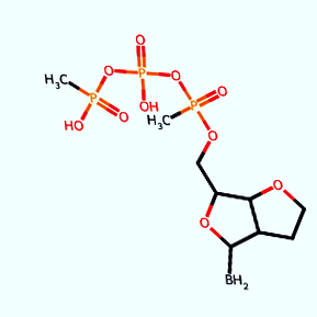 BC1OC(COP(C)(=O)OP(=O)(O)OP(C)(=O)O)C2OCCC12